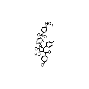 Cc1ccc(C2C(C(=O)c3ccc(Cl)cc3)=C(O)C(=O)N2c2ncc(S(=O)(=O)c3ccc([N+](=O)[O-])cc3)s2)cc1